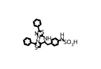 O=S(=O)(O)Nc1ccc(CC(Nc2nnc(-c3ccccc3)s2)c2csc(-c3ccccc3)n2)cc1